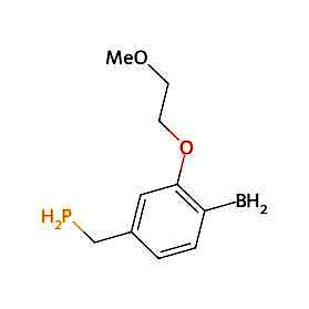 Bc1ccc(CP)cc1OCCOC